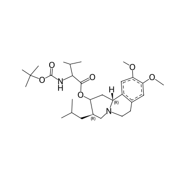 COc1cc2c(cc1OC)[C@H]1CC(OC(=O)C(NC(=O)OC(C)(C)C)C(C)C)[C@H](CC(C)C)CN1CC2